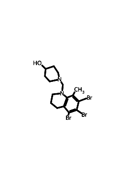 Cc1c(Br)c(Br)c(Br)c2c1N(CN1CCC(O)CC1)CCC2